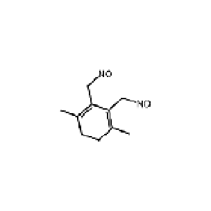 CC1=C(CN=O)C(CN=O)=C(C)CC1